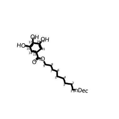 CCCCCCCCCCCCCCCCCCCOC(=O)c1cc(O)c(O)c(O)c1